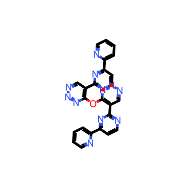 c1ccc(-c2ccnc(-c3cnnnc3Oc3nnncc3-c3nccc(-c4ccccn4)n3)n2)nc1